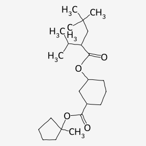 CC(C)C(CC(C)(C)C)C(=O)OC1CCCC(C(=O)OC2(C)CCCC2)C1